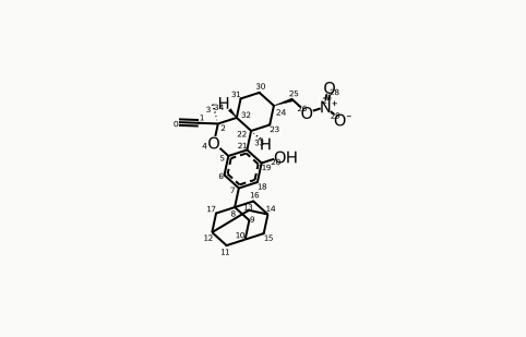 C#C[C@]1(C)Oc2cc(C34CC5CC(CC(C5)C3)C4)cc(O)c2[C@@H]2C[C@H](CO[N+](=O)[O-])CC[C@H]21